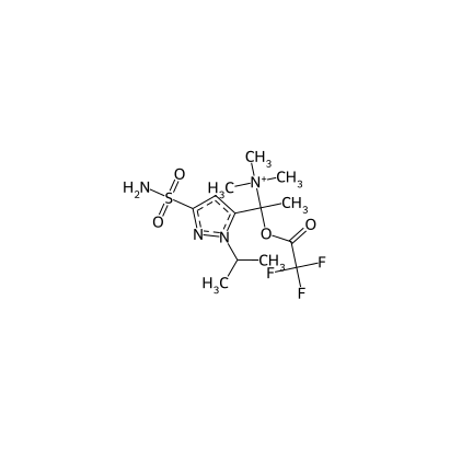 CC(C)n1nc(S(N)(=O)=O)cc1C(C)(OC(=O)C(F)(F)F)[N+](C)(C)C